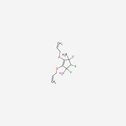 BC1(F)C(OCC=C)=C(OCC=C)C(F)(P)C1F